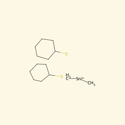 [CH3][Sn+2][CH3].[S-]C1CCCCC1.[S-]C1CCCCC1